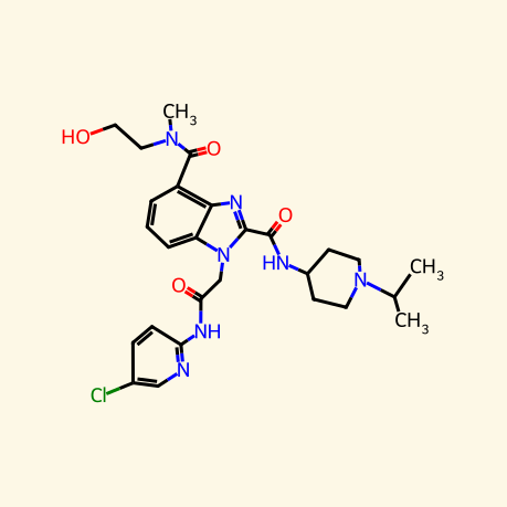 CC(C)N1CCC(NC(=O)c2nc3c(C(=O)N(C)CCO)cccc3n2CC(=O)Nc2ccc(Cl)cn2)CC1